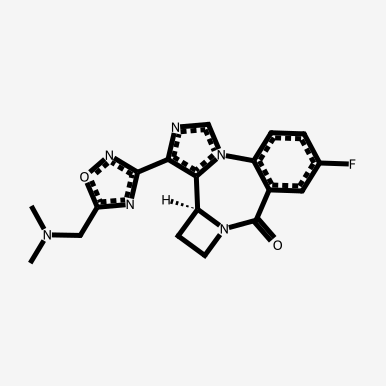 CN(C)Cc1nc(-c2ncn3c2[C@@H]2CCN2C(=O)c2cc(F)ccc2-3)no1